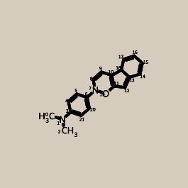 CN(C)c1ccc(N2C=CC3=C(C=C4C=CC=CC43)O2)cc1